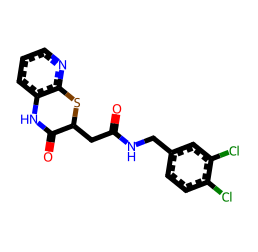 O=C(CC1Sc2ncccc2NC1=O)NCc1ccc(Cl)c(Cl)c1